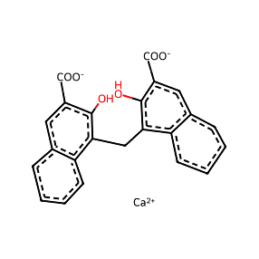 O=C([O-])c1cc2ccccc2c(Cc2c(O)c(C(=O)[O-])cc3ccccc23)c1O.[Ca+2]